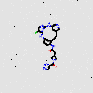 O=C(CC1CN(C(=O)c2c[nH]nn2)C1)Nc1ccc2cc1CCc1cncc(c1)Nc1ncc(Cl)c(n1)N2